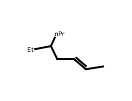 C/C=C/CC(CC)CCC